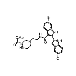 COC(=O)[C@@H]1CN(CCNC(=O)c2c(-c3cc4cc(Cl)ccc4[nH]3)[nH]c3cc(Br)ccc23)CCN1